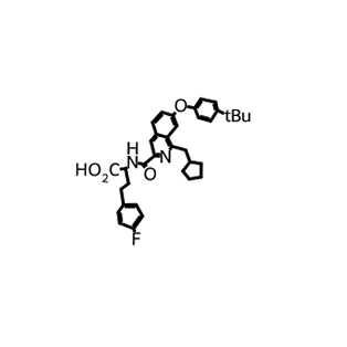 CC(C)(C)c1ccc(Oc2ccc3cc(C(=O)NC(CCc4ccc(F)cc4)C(=O)O)nc(CC4CCCC4)c3c2)cc1